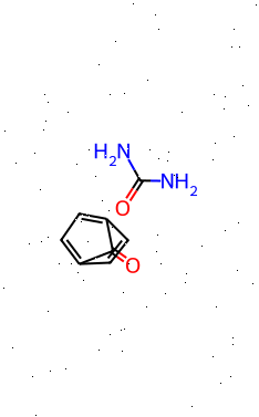 NC(N)=O.O=C1C2=CC=C1C=C2